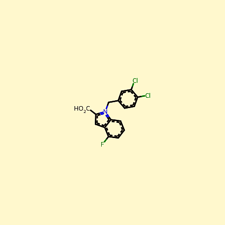 O=C(O)c1cc2c(F)cccc2n1Cc1ccc(Cl)c(Cl)c1